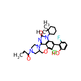 C=CC(=O)N1CCN2c3nc(=O)n(C4CCCCC4(C)C)c4cc(-c5c(O)cccc5F)c(Cl)c(c34)OCC2C1